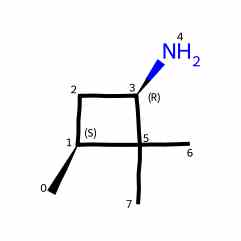 C[C@H]1C[C@@H](N)C1(C)C